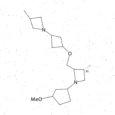 COC1CCC(N2C[C@@H](C)C2COC2CC(N3CC(C)C3)C2)C1